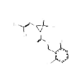 CC1(C)[C@H](C=C(Br)Br)[C@@H]1C(=O)OCc1c(Cl)cccc1Br